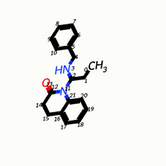 CCC(NCc1ccccc1)N1C(=O)CCc2ccccc21